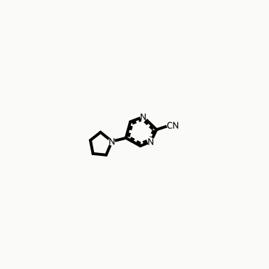 N#Cc1ncc(N2CCCC2)cn1